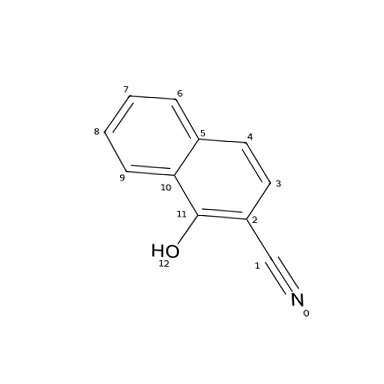 N#Cc1ccc2ccccc2c1O